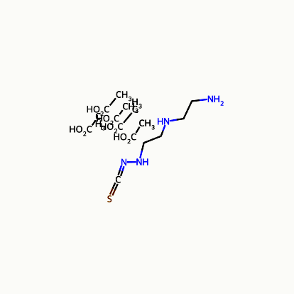 CC(=O)O.CC(=O)O.CC(=O)O.CC(=O)O.CC(=O)O.NCCNCCNN=C=S